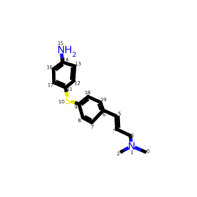 CN(C)CC=Cc1ccc(Sc2ccc(N)cc2)cc1